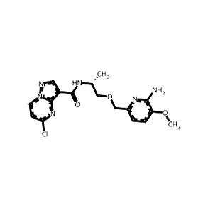 COc1ccc(COC[C@@H](C)NC(=O)c2cnn3[c]cc(Cl)nc23)nc1N